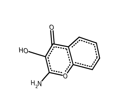 Nc1oc2ccccc2c(=O)c1O